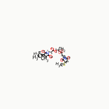 C=C(COC(=O)CCN1C(=O)CC(C(C)(C)C)C1=O)OC(=O)CCN1C(=O)CC(SC)C1=O